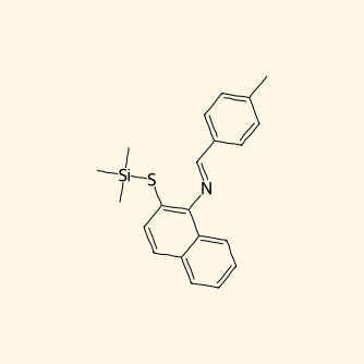 Cc1ccc(/C=N/c2c(S[Si](C)(C)C)ccc3ccccc23)cc1